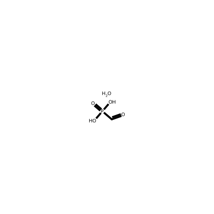 O.O=CP(=O)(O)O